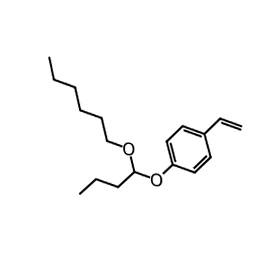 C=Cc1ccc(OC(CCC)OCCCCCC)cc1